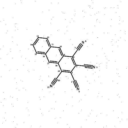 N#Cc1c(C#N)c(C#N)c2cc3ccccc3cc2c1C#N